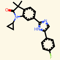 CC1(C)C(=O)N(C2CC2)c2cc(-c3ncc(-c4ccc(F)cc4)[nH]3)ccc21